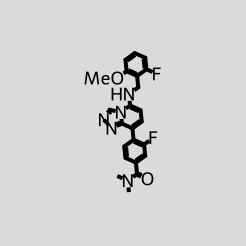 COc1cccc(F)c1CNc1ccc(-c2ccc(C(=O)N(C)C)cc2F)c2nncn12